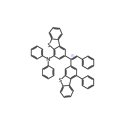 C(=C(/c1cc(-c2ccccc2)c2c(c1)sc1ccccc12)c1cc(N(c2ccccc2)c2ccccc2)c2sc3ccccc3c2c1)/c1ccccc1